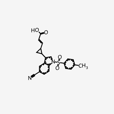 Cc1ccc(S(=O)(=O)n2cc(C3CC3/C=C/C(=O)O)c3cc(C#N)ccc32)cc1